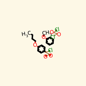 CCCCOc1ccc(S(=O)(=O)Cl)cc1.COc1ccccc1.O=S(=O)(Cl)Cl